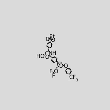 CCS(=O)(=O)c1ccc([C@H](CCO)NC(=O)c2ccc(N3CC(Oc4ccc(C(F)(F)F)cc4)C[C@H]3COC(F)F)cc2)cc1